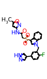 Cc1cc(NC(=O)CS(=O)(=O)c2cn(Cc3cc(-c4cn[nH]c4)ccc3F)c3ccccc23)no1